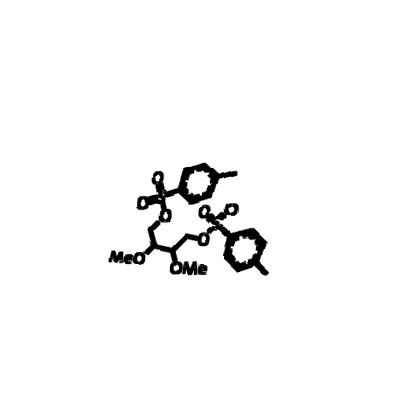 COC(COS(=O)(=O)c1ccc(C)cc1)C(COS(=O)(=O)c1ccc(C)cc1)OC